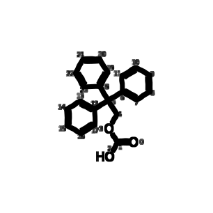 O=C(O)OCC(c1ccccc1)(c1ccccc1)c1ccccc1